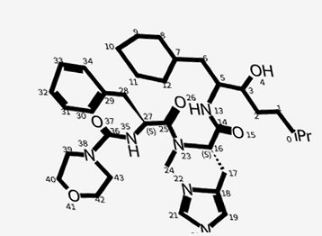 CC(C)CCC(O)C(CC1CCCCC1)NC(=O)[C@H](Cc1c[nH]cn1)N(C)C(=O)[C@H](Cc1ccccc1)NC(=O)N1CCOCC1